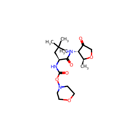 C[C@@H]1OCC(=O)[C@H]1NC(=O)[C@H](CC(C)(C)C)NC(=O)ON1CCOCC1